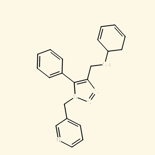 C1=CCC(NCc2nnn(Cc3cccnc3)c2-c2ccccc2)C=C1